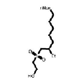 CCCCCCCCCCCCCCC(CC)CS(=O)(=O)CCO